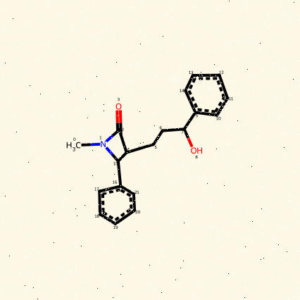 CN1C(=O)C(CCC(O)c2ccccc2)C1c1ccccc1